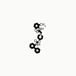 Cc1cccc(C)c1NC(=O)CN1CCC(OC(=O)Nc2ccccc2-c2ccccc2)CC1